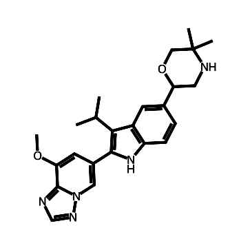 COc1cc(-c2[nH]c3ccc(C4CNC(C)(C)CO4)cc3c2C(C)C)cn2ncnc12